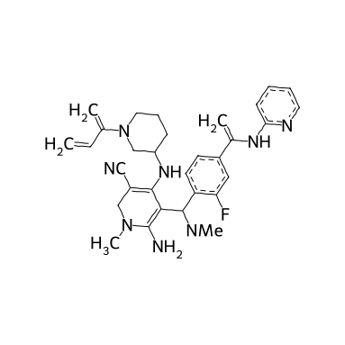 C=CC(=C)N1CCCC(NC2=C(C#N)CN(C)C(N)=C2C(NC)c2ccc(C(=C)Nc3ccccn3)cc2F)C1